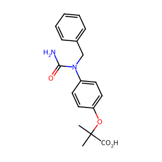 CC(C)(Oc1ccc(N(Cc2ccccc2)C(N)=O)cc1)C(=O)O